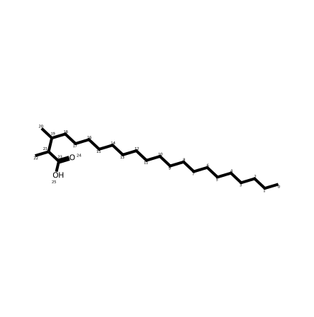 CCCCCCCCCCCCCCCCCCCC(C)C(C)C(=O)O